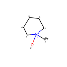 CCC[N+]1([O])CCCCC1